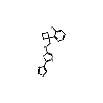 Fc1cccnc1C1(CNc2nnc(-c3cscn3)s2)CCC1